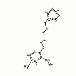 CCCCNc1nc(N)ncc1OCCCCCc1ccccc1